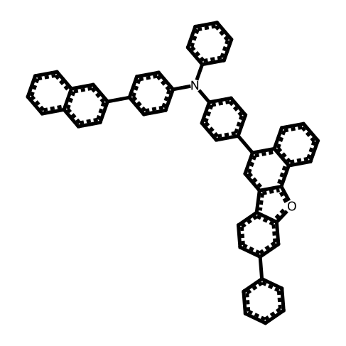 c1ccc(-c2ccc3c(c2)oc2c4ccccc4c(-c4ccc(N(c5ccccc5)c5ccc(-c6ccc7ccccc7c6)cc5)cc4)cc32)cc1